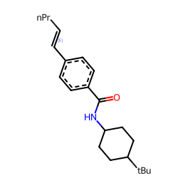 CCC/C=C/c1ccc(C(=O)NC2CCC(C(C)(C)C)CC2)cc1